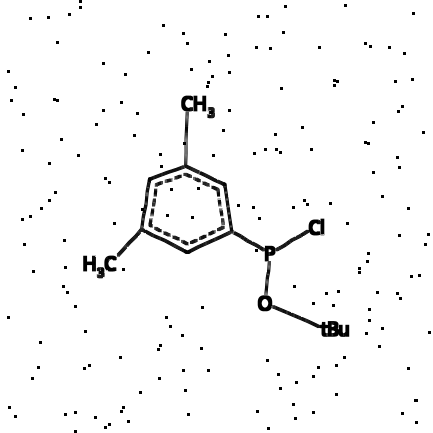 Cc1cc(C)cc(P(Cl)OC(C)(C)C)c1